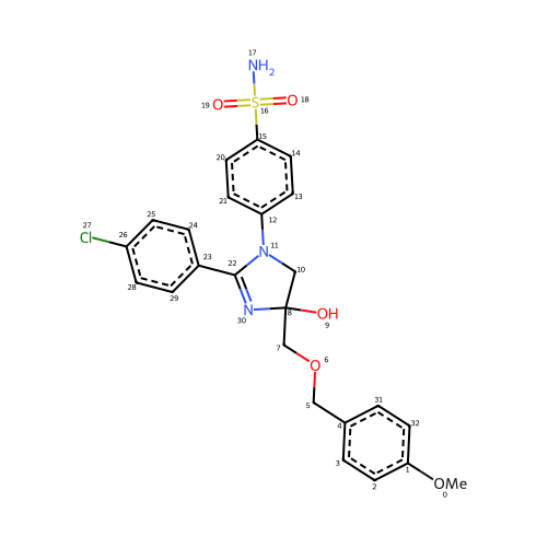 COc1ccc(COCC2(O)CN(c3ccc(S(N)(=O)=O)cc3)C(c3ccc(Cl)cc3)=N2)cc1